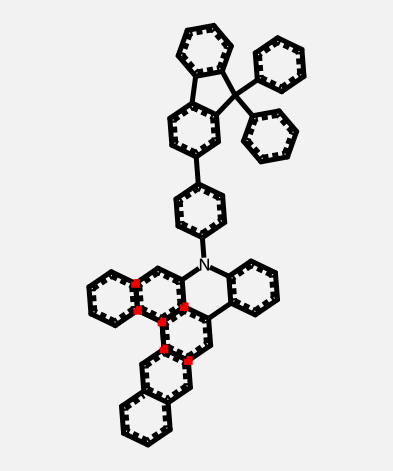 c1ccc(-c2cccc(-c3ccccc3N(c3ccc(-c4ccc5c(c4)C(c4ccccc4)(c4ccccc4)c4ccccc4-5)cc3)c3cccc(-c4ccc5ccccc5c4)c3)c2)cc1